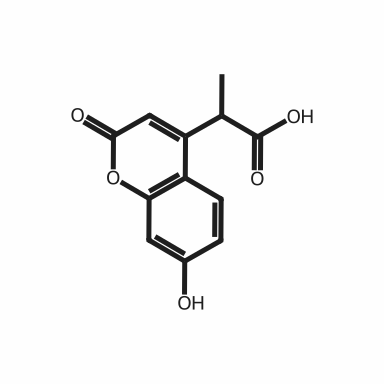 CC(C(=O)O)c1cc(=O)oc2cc(O)ccc12